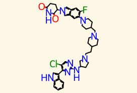 O=C1CCC(n2cc3cc(F)c(N4CCC(CN5CCC(CCN6CCC(Nc7ncc(Cl)c(-c8c[nH]c9ccccc89)n7)C6)CC5)CC4)cc3c2)C(=O)N1